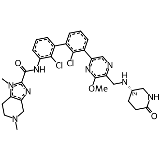 COc1nc(-c2cccc(-c3cccc(NC(=O)c4nc5c(n4C)CCN(C)C5)c3Cl)c2Cl)cnc1CN[C@H]1CCC(=O)NC1